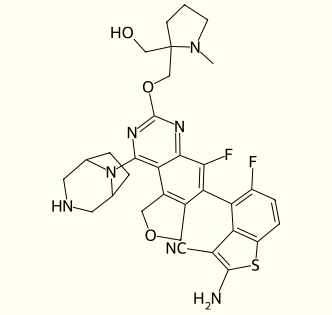 CN1CCCC1(CO)COc1nc(N2C3CCC2CNC3)c2c3c(c(-c4c(F)ccc5sc(N)c(C#N)c45)c(F)c2n1)COC3